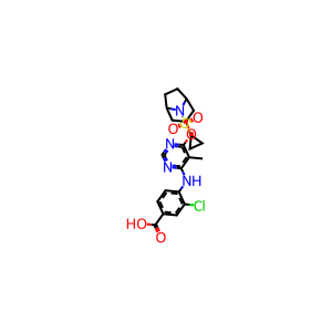 Cc1c(Nc2ccc(C(=O)O)cc2Cl)ncnc1OC1CC2CCC(C1)N2S(=O)(=O)C1CC1